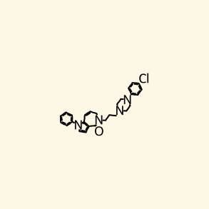 O=C1c2ccn(-c3ccccc3)c2C=CCN1CCCN1CCN(c2ccc(Cl)cc2)CC1